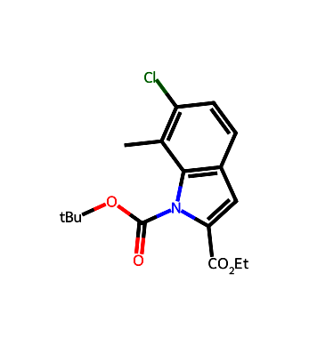 CCOC(=O)c1cc2ccc(Cl)c(C)c2n1C(=O)OC(C)(C)C